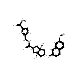 CCOc1ccc2ccc(O[C@@H]3C[C@@H]4CN(C(=O)OCc5nc(C(=O)OC)cs5)C[C@@H]4C3)cc2c1